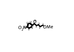 COCCCCC(=O)c1ccc([N+](=O)[O-])cc1